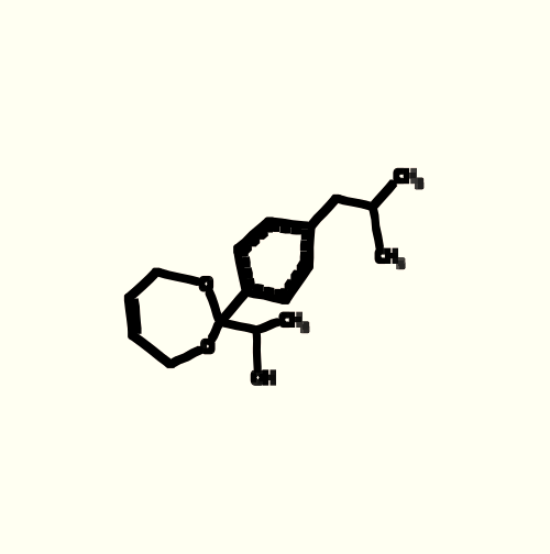 CC(C)Cc1ccc(C2(C(C)O)OCC=CCO2)cc1